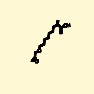 C=C(CCCCCCCOCC1CO1)C(=O)O